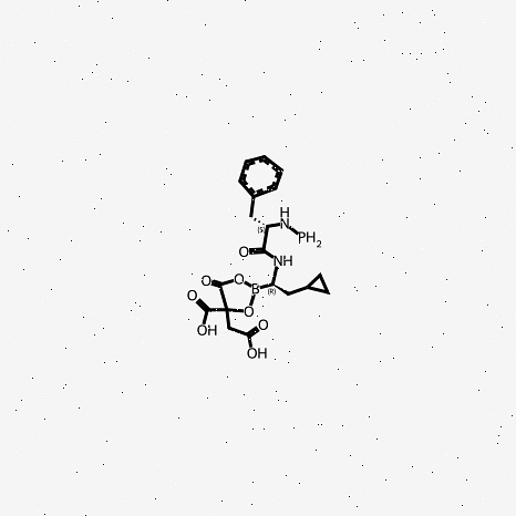 O=C(O)CC1(C(=O)O)OB([C@H](CC2CC2)NC(=O)[C@H](Cc2ccccc2)NP)OC1=O